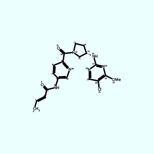 C/C=C/C(=O)Nc1ccc(C(=O)N2CC[C@H](Nc3ncc(Cl)c(OC)n3)C2)nc1